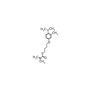 Cc1cc(OCCCCSC(=O)N(C)C)ccc1C(C)C